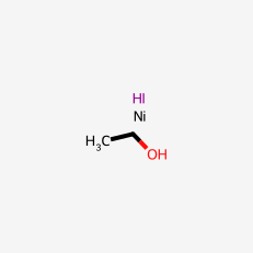 CCO.I.[Ni]